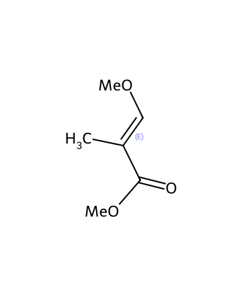 CO/C=C(\C)C(=O)OC